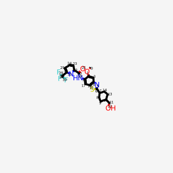 COc1cc2nc(C3CCC(CO)CC3)sc2cc1NC(=O)c1cccc(C(F)(F)F)n1